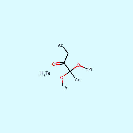 CC(=O)CC(=O)C(OC(C)C)(OC(C)C)C(C)=O.[TeH2]